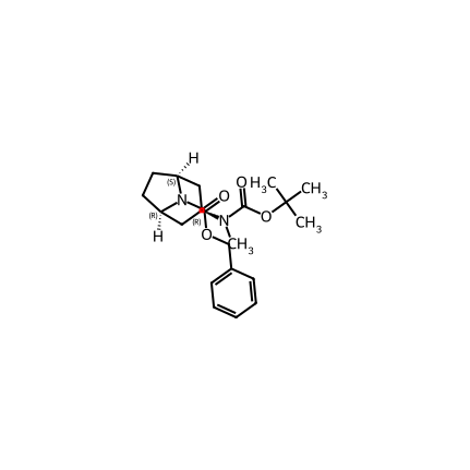 CN(C(=O)OC(C)(C)C)[C@H]1C[C@H]2CC[C@@H](C1)N2C(=O)OCc1ccccc1